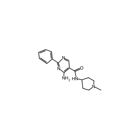 CN1CCC(NC(=O)c2cnc(-c3ccccc3)nc2N)CC1